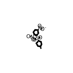 Cc1ccc(S(=O)(=O)c2cc([N+](=O)[O-])ccc2[N+](=O)[O-])cc1